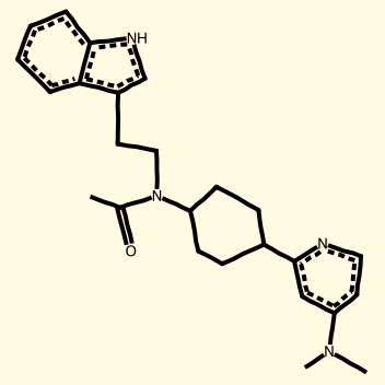 CC(=O)N(CCc1c[nH]c2ccccc12)C1CCC(c2cc(N(C)C)ccn2)CC1